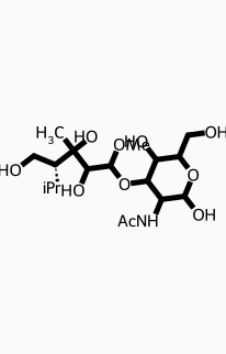 COC(OC1C(O)C(CO)OC(O)C1NC(C)=O)C(O)C(C)(O)[C@@H](CO)C(C)C